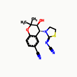 CC1(C)Oc2ccc(C#N)cc2[C@@H](N2CCSC2=NC#N)[C@@H]1O